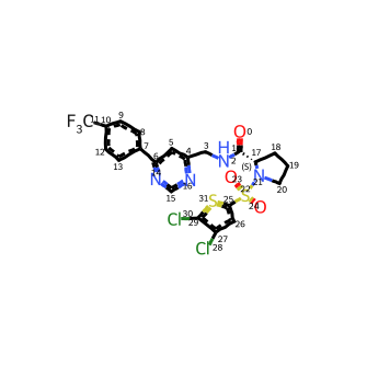 O=C(NCc1cc(-c2ccc(C(F)(F)F)cc2)ncn1)[C@@H]1CCCN1S(=O)(=O)c1cc(Cl)c(Cl)s1